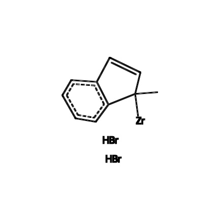 Br.Br.C[C]1([Zr])C=Cc2ccccc21